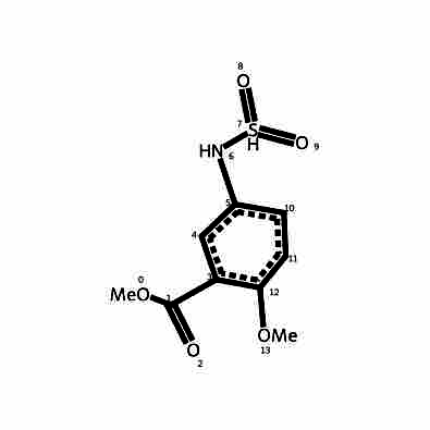 COC(=O)c1cc(N[SH](=O)=O)ccc1OC